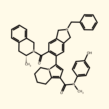 C[C@@H]1Cc2ccccc2CN1C(=O)c1cc2c(cc1-c1cc(C(=O)N(C)c3ccc(O)cc3)c3n1CCCC3)CN(Cc1ccccc1)C2